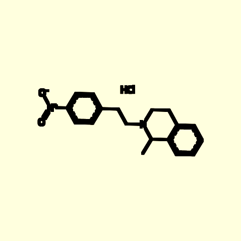 CC1c2ccccc2CCN1CCc1ccc([N+](=O)[O-])cc1.Cl